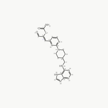 NC(=O)S/C(C=O)=C\c1ccnc(N2CCC(CNc3ncnc4nc[nH]c34)CC2)n1